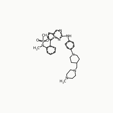 CN1CCN(CC2CCN(c3ccc(Nc4ncc5ccc(-c6ccccc6N(C)S(C)(=O)=O)n5n4)cc3)CC2)CC1